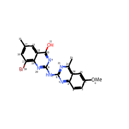 COc1ccc2nc(Nc3nc(O)c4cc(C)cc(Br)c4n3)nc(C)c2c1